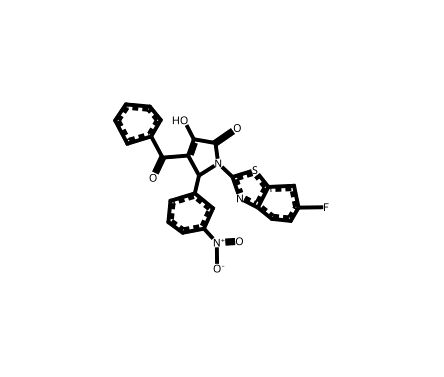 O=C(C1=C(O)C(=O)N(c2nc3ccc(F)cc3s2)C1c1cccc([N+](=O)[O-])c1)c1ccccc1